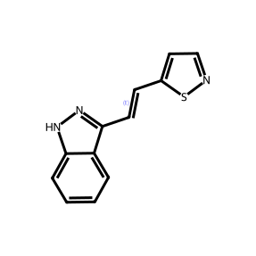 C(=C\c1n[nH]c2ccccc12)/c1ccns1